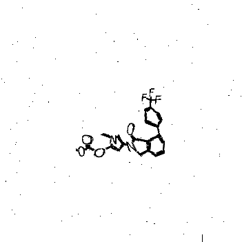 COC(=O)Oc1cc(N2Cc3cccc(-c4ccc(C(F)(F)F)cc4)c3C2=O)cn1C